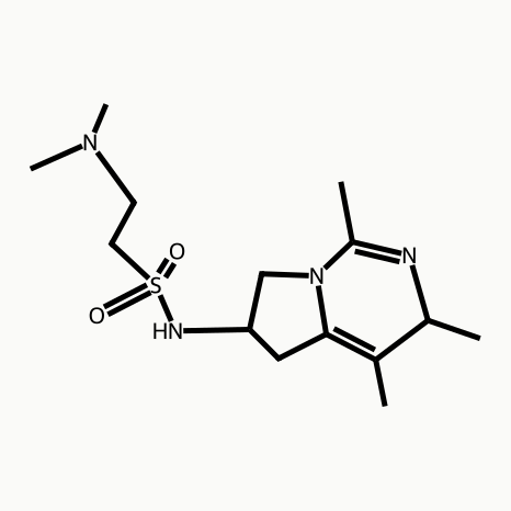 CC1=NC(C)C(C)=C2CC(NS(=O)(=O)CCN(C)C)CN12